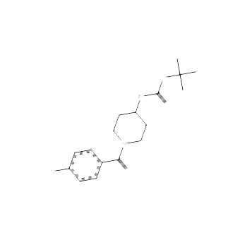 CC(C)(C)OC(=O)NC1CCN(C(=O)c2ccc(N)cc2)CC1